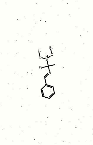 CCO[SiH](OCC)C(C)(CC)N=Cc1ccccc1